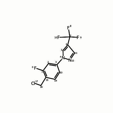 Fc1cc(-n2cc(C(F)(F)F)cn2)ccc1CCl